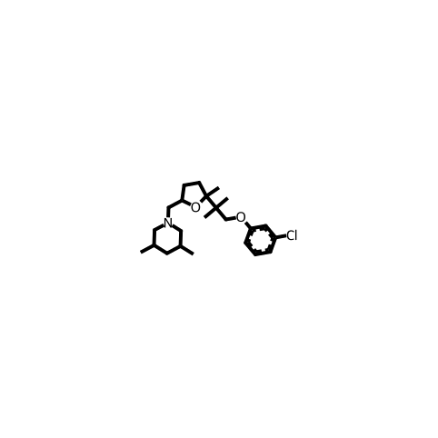 CC1CC(C)CN(CC2CCC(C)(C(C)(C)COc3cccc(Cl)c3)O2)C1